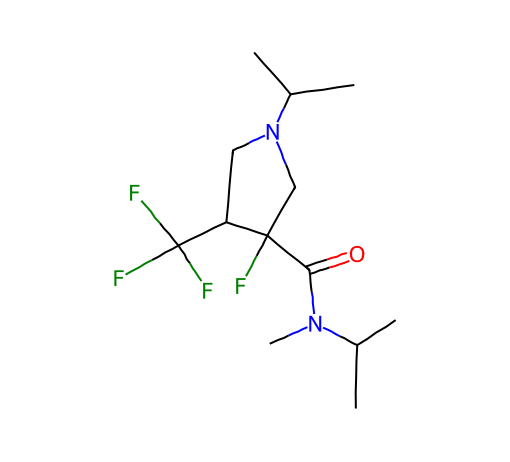 CC(C)N1CC(C(F)(F)F)C(F)(C(=O)N(C)C(C)C)C1